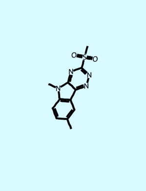 Cc1ccc2c(c1)c1nnc(S(C)(=O)=O)nc1n2C